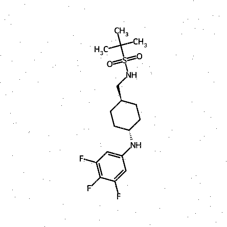 CC(C)(C)S(=O)(=O)NC[C@H]1CC[C@H](Nc2cc(F)c(F)c(F)c2)CC1